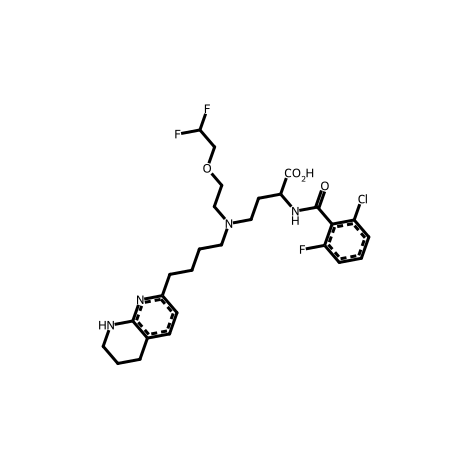 O=C(NC(CCN(CCCCc1ccc2c(n1)NCCC2)CCOCC(F)F)C(=O)O)c1c(F)cccc1Cl